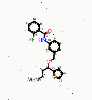 CNCCC(OCc1cccc(NC(=O)c2ccccc2F)c1)c1cccs1